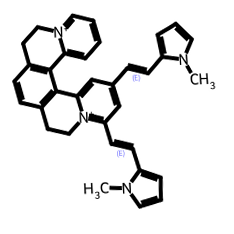 Cn1cccc1/C=C/c1cc(/C=C/c2cccn2C)[n+]2c(c1)-c1c(ccc3c1-c1cccc[n+]1CC3)CC2